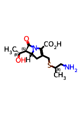 C[C@H](CN)SCC1=C(C(=O)O)N2C(=O)[C@H]([C@@H](C)O)[C@H]2C1